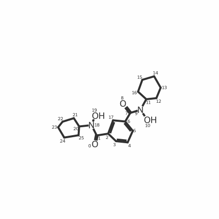 O=C(c1cccc(C(=O)N(O)C2CCCCC2)c1)N(O)C1CCCCC1